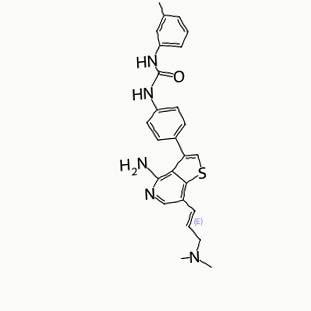 Cc1cccc(NC(=O)Nc2ccc(-c3csc4c(/C=C/CN(C)C)cnc(N)c34)cc2)c1